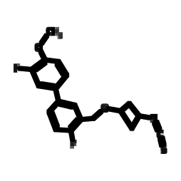 COc1ccc(-c2ccc(F)c(COC3CC(N=C=S)C3)c2)cc1F